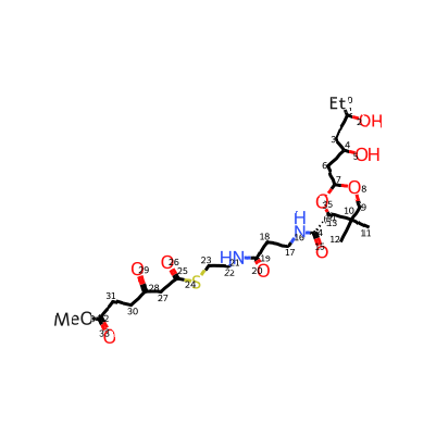 CCC(O)CC(O)CC1OCC(C)(C)[C@H](C(=O)NCCC(=O)NCCSC(=O)CC(=O)CCC(=O)OC)O1